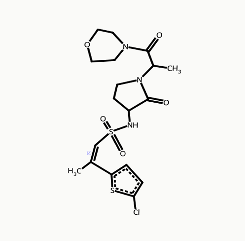 C/C(=C/S(=O)(=O)NC1CCN(C(C)C(=O)N2CCOCC2)C1=O)c1ccc(Cl)s1